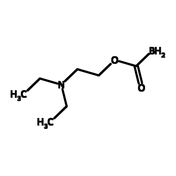 BC(=O)OCCN(CC)CC